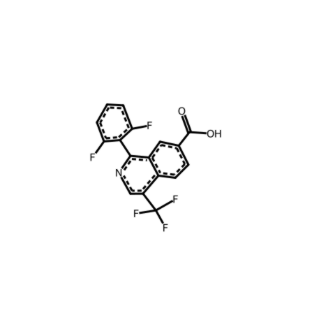 O=C(O)c1ccc2c(C(F)(F)F)cnc(-c3c(F)cccc3F)c2c1